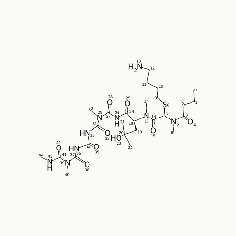 CCCC(=O)N(C)[C@H](SCCCCN)C(=O)N(C)[C@@H](CC(C)(C)O)C(=O)NC(=O)N(C)C(=O)NC(=O)NC(=O)N(C)C(=O)NC